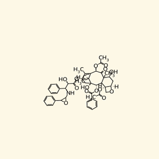 CC(=O)O[C@H]1C(=O)[C@@]2(C)[C@H]([C@H](OC(=O)c3ccccc3)[C@]3(O)C[C@H](OC(=O)[C@H](O)[C@@H](NC4OC4c4ccccc4)c4ccccc4)C(C)=C1C3(C)C)[C@]1(OC(C)=O)CO[C@@H]1C[C@@H]2O